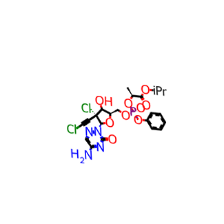 CC(C)OC(=O)[C@H](C)OP(=O)(OC[C@H]1O[C@@H](n2ncc(N)nc2=O)[C@@](Cl)(C#CCl)C1O)Oc1ccccc1